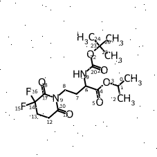 CC(C)OC(=O)C(CCN1C(=O)CCC(F)(F)C1=O)NC(=O)OC(C)(C)C